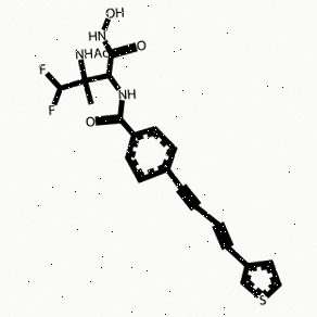 CC(=O)NC(C)(C(F)F)C(NC(=O)c1ccc(C#CC#Cc2ccsc2)cc1)C(=O)NO